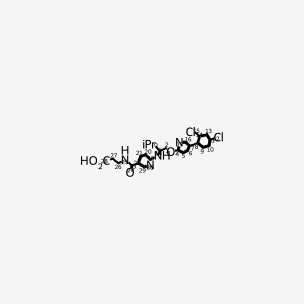 CC(C)C(COc1ccc(-c2ccc(Cl)cc2Cl)cn1)Nc1ccc(C(=O)NCCC(=O)O)cn1